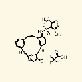 Cc1noc(C)c1S(=O)(=O)Nc1ccc2cc1CCc1cccc(c1)Nc1ncc(Cl)c(n1)N2.O=C(O)C(F)(F)F